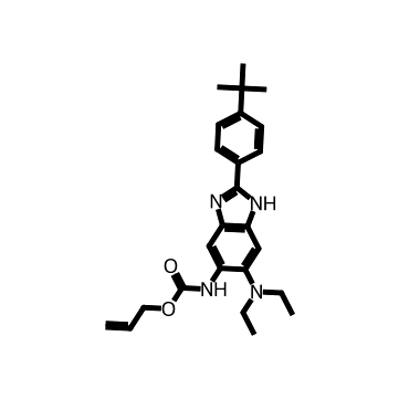 C=CCOC(=O)Nc1cc2nc(-c3ccc(C(C)(C)C)cc3)[nH]c2cc1N(CC)CC